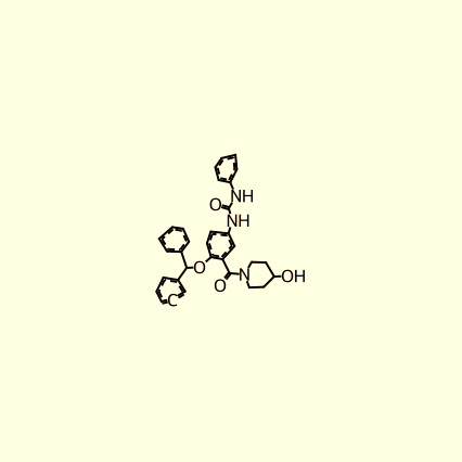 O=C(Nc1ccccc1)Nc1ccc(OC(c2ccccc2)c2ccccc2)c(C(=O)N2CCC(O)CC2)c1